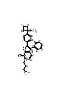 NC1(c2ccc(-c3oc4c(=O)n(CCCO)ccc4c3-c3ccccc3)cc2)CCC1